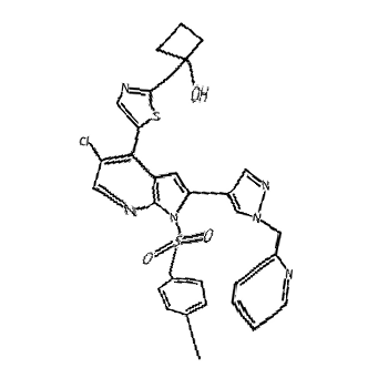 Cc1ccc(S(=O)(=O)n2c(-c3cnn(Cc4ccccn4)c3)cc3c(-c4cnc(C5(O)CCC5)s4)c(Cl)cnc32)cc1